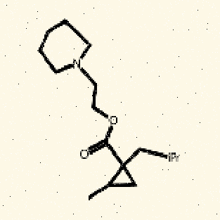 CC(C)CC1(C(=O)OCCN2CCCCC2)CC1C